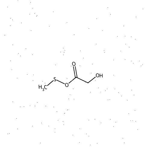 CSOC(=O)CO